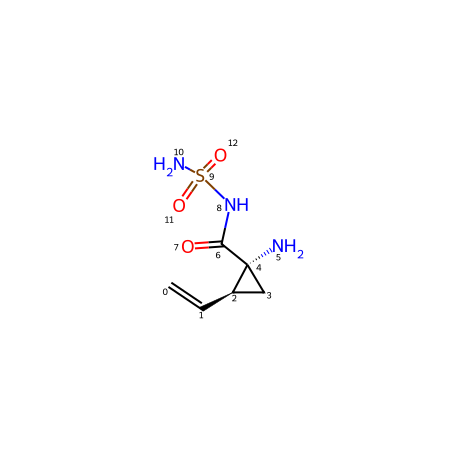 C=C[C@@H]1C[C@]1(N)C(=O)NS(N)(=O)=O